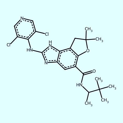 CC(NC(=O)c1cc2nc(Nc3c(Cl)cncc3Cl)[nH]c2c2c1OC(C)(C)C2)C(C)(C)C